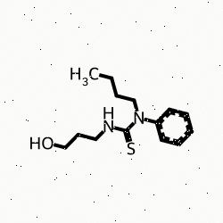 CCCCN(C(=S)NCCCO)c1ccccc1